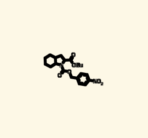 CC(C)COC(=O)C1CC2CCCCC2N1C(=O)OCc1ccc([N+](=O)[O-])cc1